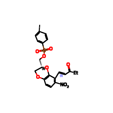 CCC(=O)/C=C/c1c([N+](=O)[O-])ccc2c1O[C@@H](COS(=O)(=O)c1ccc(C)cc1)CO2